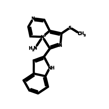 CSC1=C2C=NC=C[N+]2(N)C(c2cc3ccccc3[nH]2)=N1